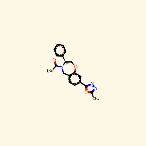 CC(C)(C)C(=O)N1Cc2ccc(-c3nnc(C(F)(F)F)o3)cc2OC[C@@H]1c1ccccc1